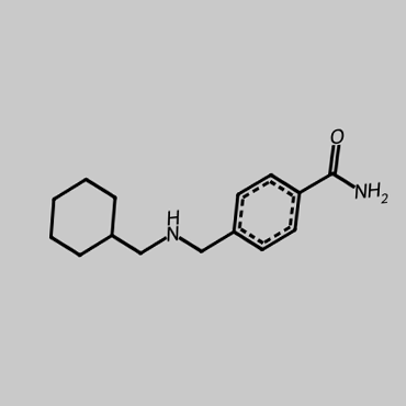 NC(=O)c1ccc(CNCC2CCCCC2)cc1